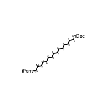 CCCCCCCCCCCCCCCCCCCCCCCCCC(C)CCC